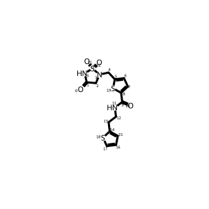 O=C1CN(Cc2ccc(C(=O)NCCc3cccs3)s2)S(=O)(=O)N1